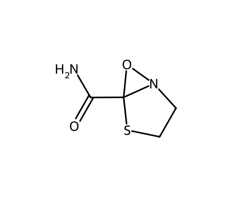 NC(=O)C12ON1CCS2